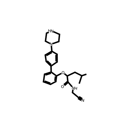 CC(C)CC(Oc1ccccc1-c1ccc(N2CCNCC2)cc1)C(=O)NCC#N